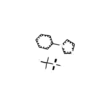 O=S(=O)(O)C(F)(F)F.c1ccc(-n2ccnc2)cc1